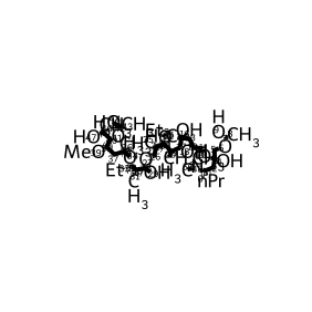 CCC[C@@H](CC(O)(COC(C)O)OCCCC(C)(O)C(O)C(C)[C@@H](OCC)[C@@H](C)COC(O)[C@H](C)[C@H](CC)O[C@@H](C)C[C@H](OC)C(OC(C)O)[C@H](C)O)N(C)C